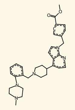 COC(=O)c1ccc(Cn2ccc3c(C4CCN(Cc5ccccc5N5CCN(C)CC5)CC4)ccnc32)cc1